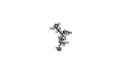 Cn1nnnc1SCC1=C(C(=O)O)N2C(=O)C(NC(=O)C(=NOCC(=O)Nc3cc(Cl)ccc3O)c3csc(NC=O)n3)[C@@H]2SC1